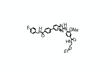 CCOCCNC(=O)c1ccc(Nc2nc3ccc(-c4ccc(C(=O)NCc5ccc(F)cc5)cc4)cn3n2)c(OC)c1